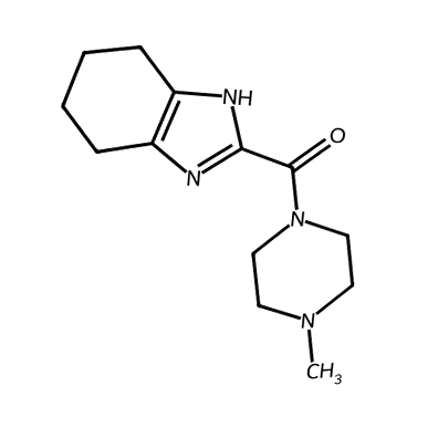 CN1CCN(C(=O)c2nc3c([nH]2)CCCC3)CC1